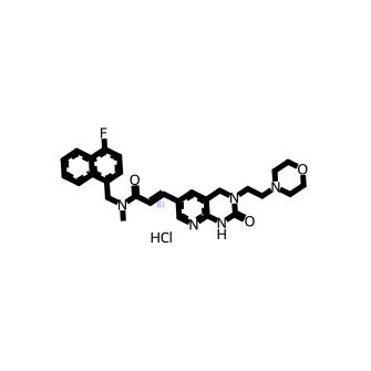 CN(Cc1ccc(F)c2ccccc12)C(=O)/C=C/c1cnc2c(c1)CN(CCN1CCOCC1)C(=O)N2.Cl